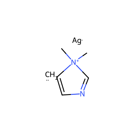 C[N+]1(C)C=CN=C1.[Ag].[CH2]